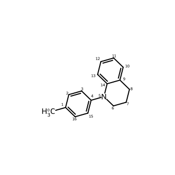 Cc1ccc(N2CCCc3ccccc32)cc1